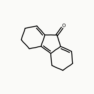 O=C1C2=CCCCC2=C2CCCC=C12